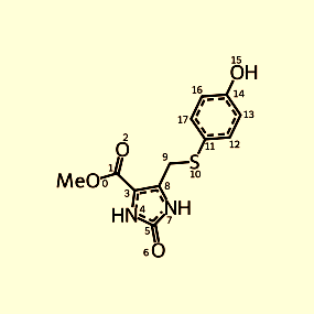 COC(=O)c1[nH]c(=O)[nH]c1CSc1ccc(O)cc1